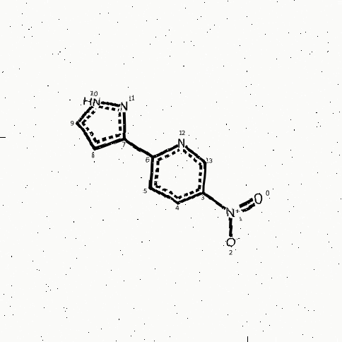 O=[N+]([O-])c1ccc(-c2cc[nH]n2)nc1